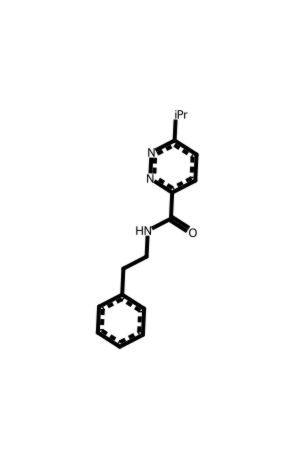 CC(C)c1ccc(C(=O)NCCc2ccccc2)nn1